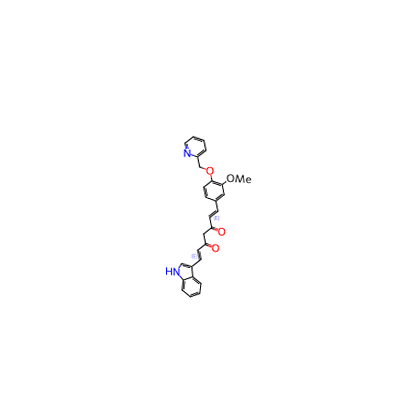 COc1cc(/C=C/C(=O)CC(=O)/C=C/c2c[nH]c3ccccc23)ccc1OCc1ccccn1